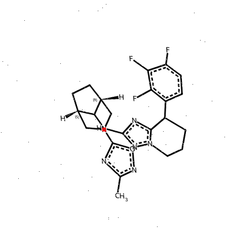 Cc1noc(N2C[C@H]3CC[C@@H](C2)C3Nc2nc3n(n2)CCCC3c2ccc(F)c(F)c2F)n1